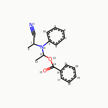 CC(C#N)N(c1ccccc1)C(C)OC(=O)c1ccccc1